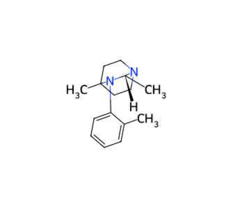 Cc1ccccc1N1[C@@H](C)N2CCC1(C)CC2